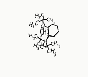 CC(C)(C)O[C@H]1CCCCC1N(C(C)(C)C)C(C)(C)C